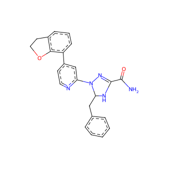 NC(=O)C1=NN(c2cc(-c3cccc4c3OCC4)ccn2)C(Cc2ccccc2)N1